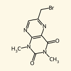 Cn1c(=O)c2nc(CBr)cnc2n(C)c1=O